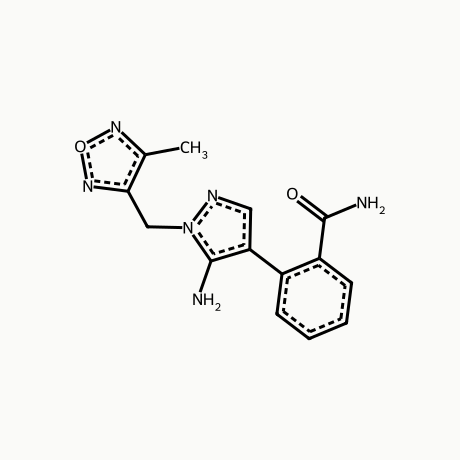 Cc1nonc1Cn1ncc(-c2ccccc2C(N)=O)c1N